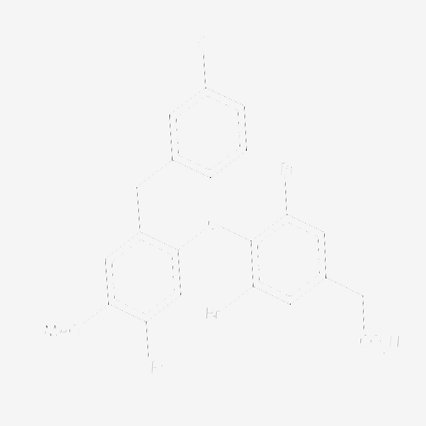 COc1cc(Cc2cccc(C)c2)c(Oc2c(Br)cc(CC(=O)O)cc2Br)cc1C(C)C